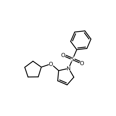 O=S(=O)(c1ccccc1)N1CC=CC1OC1CCCC1